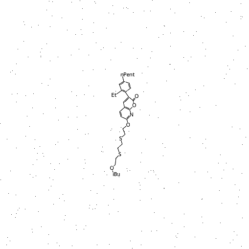 CCCCCc1ccc(-c2cc3ccc(OCCSCCSCCOC(C)CC)nc3oc2=O)c(CC)c1